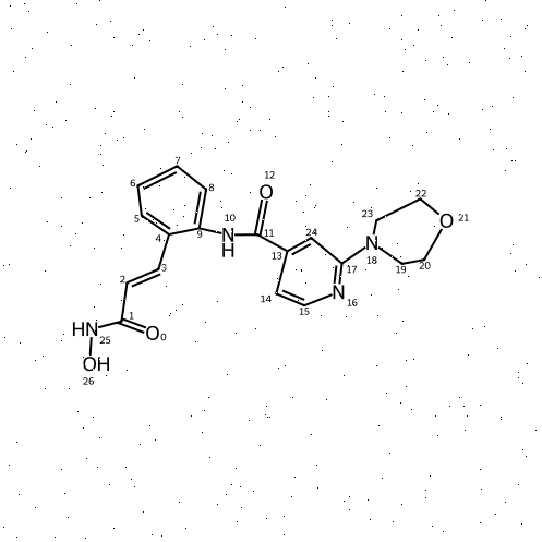 O=C(/C=C/c1ccccc1NC(=O)c1ccnc(N2CCOCC2)c1)NO